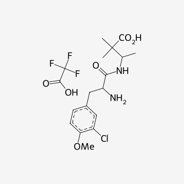 COc1ccc(CC(N)C(=O)NC(C)C(C)(C)C(=O)O)cc1Cl.O=C(O)C(F)(F)F